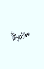 Cc1nc(NC[C@H]2CCCN2C(=O)OC(C)(C)C)ncc1-c1ccc(OC(F)(F)F)cc1F